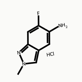 Cl.Cn1cc2cc(N)c(F)cc2n1